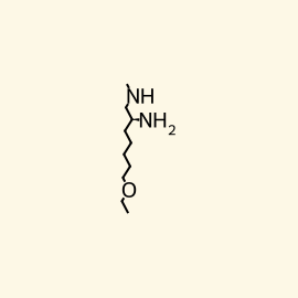 CCOCCCCC[C@H](N)CNC